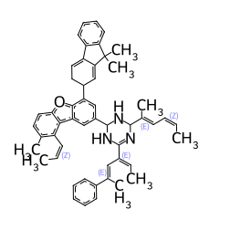 C/C=C\C=C(/C)C1N=C(C(=C/C)/C=C(\C)c2ccccc2)NC(c2cc(C3C=C4C(=CC3)c3ccccc3C4(C)C)c3oc4ccc(C)c(/C=C\C)c4c3c2)N1